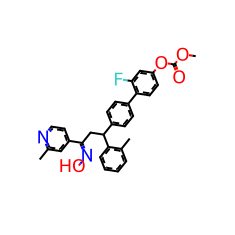 COC(=O)Oc1ccc(-c2ccc(C(CC(=NO)c3ccnc(C)c3)c3ccccc3C)cc2)c(F)c1